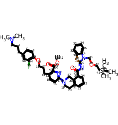 CN(C)CCCc1ccc(OCCCc2ccc(N3CCc4cccc(C(=O)/N=c5\sc6ccccc6n5COCC[Si](C)(C)C)c4C3)nc2C(=O)OC(C)(C)C)c(F)c1